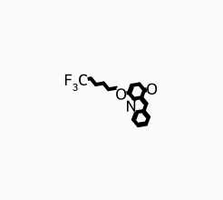 O=C1CC=C(OCCCCCC(F)(F)F)c2nc3ccccc3cc21